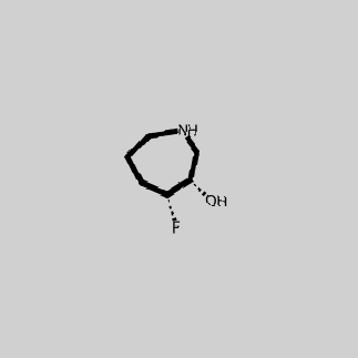 O[C@H]1CNCCC[C@H]1F